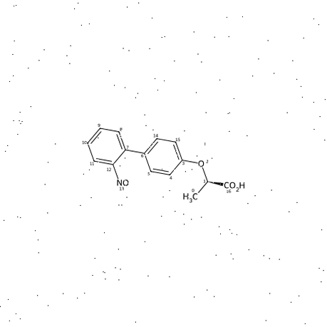 C[C@@H](Oc1ccc(-c2ccccc2N=O)cc1)C(=O)O